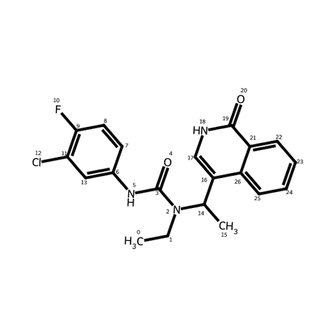 CCN(C(=O)Nc1ccc(F)c(Cl)c1)C(C)c1c[nH]c(=O)c2ccccc12